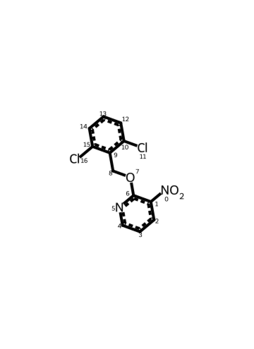 O=[N+]([O-])c1cccnc1OCc1c(Cl)cccc1Cl